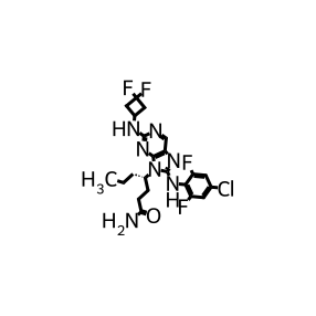 CCC[C@@H](CCC(N)=O)n1c(Nc2c(F)cc(Cl)cc2F)nc2cnc(NC3CC(F)(F)C3)nc21